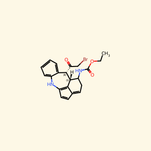 CCOC(=O)NC1CC=C2C=CC3=C2[C@@H]1[C@@H](C(=O)CBr)c1ccccc1N3